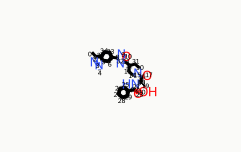 Cc1nn(C)c2cc(-c3noc(C4CCN(C(=O)[C@@H](CO)NC(=O)c5ccccc5)CC4)n3)ccc12